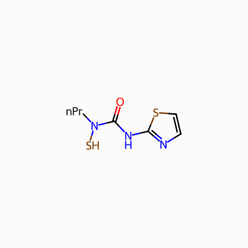 CCCN(S)C(=O)Nc1nccs1